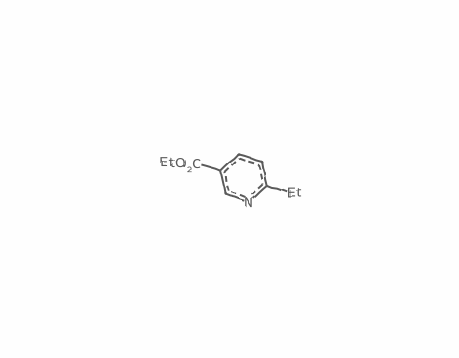 CCOC(=O)c1ccc(CC)nc1